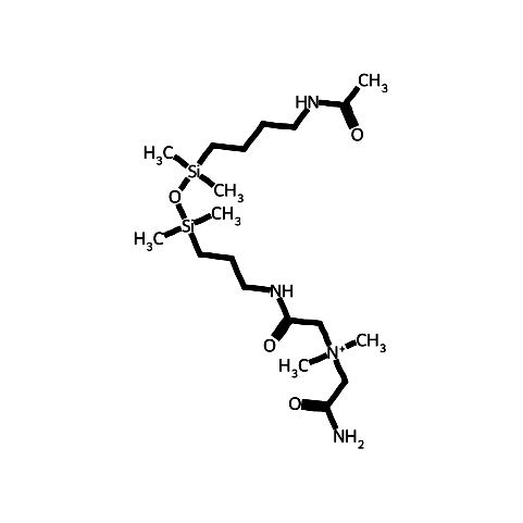 CC(=O)NCCCC[Si](C)(C)O[Si](C)(C)CCCNC(=O)C[N+](C)(C)CC(N)=O